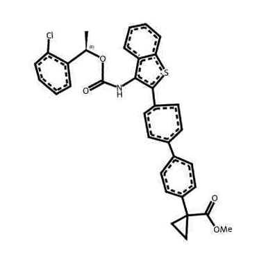 COC(=O)C1(c2ccc(-c3ccc(-c4sc5ccccc5c4NC(=O)O[C@H](C)c4ccccc4Cl)cc3)cc2)CC1